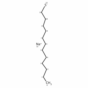 CCCCCCCCCCCC[S-].[Na+]